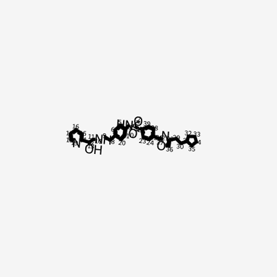 O=S(=O)(Nc1ccc(CCNCC(O)c2ccccn2)cc1)c1ccc(-c2nc(CCC3CCCC3)co2)cc1